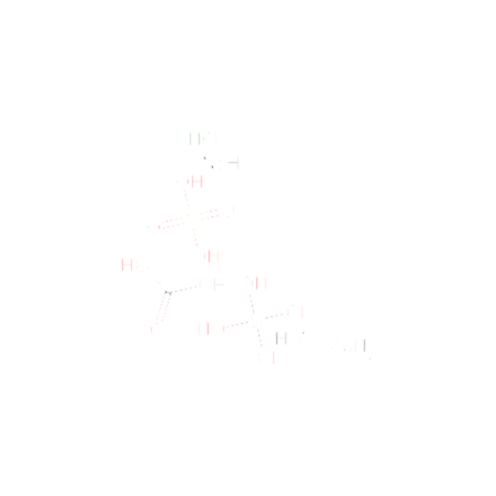 Cl.O=C(O)O.O=S(=O)(O)O.O[Si](O)(O)O.[AlH3].[CaH2].[NaH]